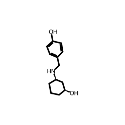 Oc1ccc(CN[C@@H]2CCC[C@H](O)C2)cc1